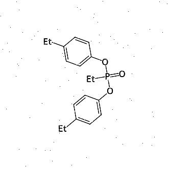 CCc1ccc(OP(=O)(CC)Oc2ccc(CC)cc2)cc1